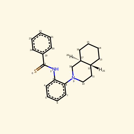 S=C(Nc1ccccc1N1CC[C@H]2CCCC[C@@H]2C1)c1ccccc1